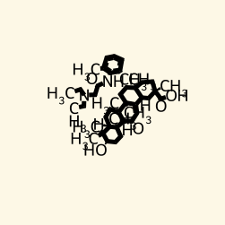 CC1(C)[C@@H](O)CC[C@]2(C)[C@H]3C(=O)C=C4[C@@H]5C[C@@](C)(C(=O)O)CC[C@]5(C)CC[C@@]4(C)[C@]3(C)CC[C@@H]12.CCN(CC)CC(=O)Nc1c(C)cccc1C